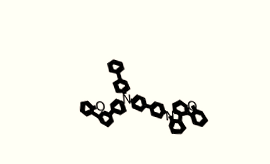 c1ccc(-c2ccc(N(c3ccc(-c4ccc(-n5c6ccccc6c6c7c(ccc65)oc5ccccc57)cc4)cc3)c3ccc(-c4cccc5c4oc4ccccc45)cc3)cc2)cc1